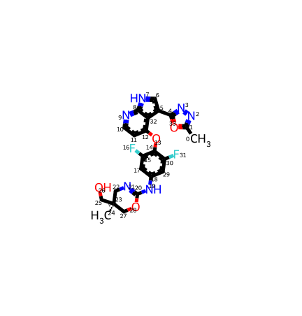 Cc1nnc(-c2c[nH]c3nccc(Oc4c(F)cc(NC5=NC[C@](C)(CO)CO5)cc4F)c23)o1